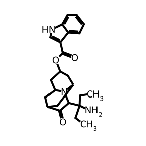 CCC(N)(CC)C1C(=O)C2CC3CC(OC(=O)c4c[nH]c5ccccc45)CC(C2)N31